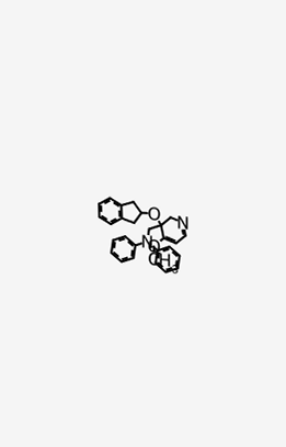 COC1=CC=NCC1(CN(c1ccccc1)c1ccccc1)OC1Cc2ccccc2C1